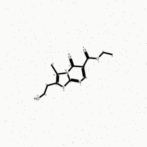 CCOC(=O)c1cnc2sc(CCO)c(C)n2c1=O